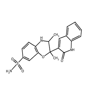 CC1Nc2ccc(S(N)(=O)=O)cc2OC1(C)c1cc2ccccc2[nH]c1=O